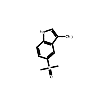 CP(C)(=O)c1ccc2[nH]cc(C=O)c2c1